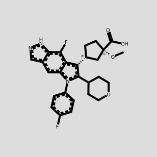 CO[C@@]1(C(=O)O)CC[C@@H](c2c(C3CCOCC3)n(-c3ccc(F)cc3)c3cc4cn[nH]c4c(F)c23)C1